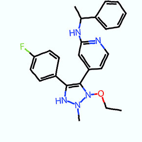 CCON1C(c2ccnc(NC(C)c3ccccc3)c2)=C(c2ccc(F)cc2)NN1C